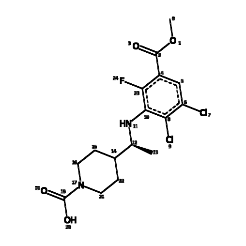 COC(=O)c1cc(Cl)c(Cl)c(N[C@@H](C)C2CCN(C(=O)O)CC2)c1F